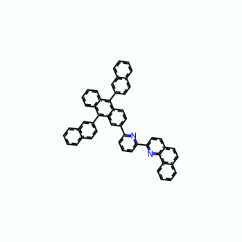 c1cc(-c2ccc3c(-c4ccc5ccccc5c4)c4ccccc4c(-c4ccc5ccccc5c4)c3c2)nc(-c2ccc3ccc4ccccc4c3n2)c1